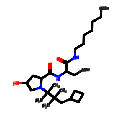 COCCCCCCNC(=O)C(CSC)NC(=O)C1CC(O)CN1C(C)(C)C(C)(C)CC1CCC1